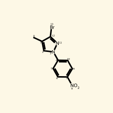 Cc1cn(-c2ccc([N+](=O)[O-])cc2)nc1Br